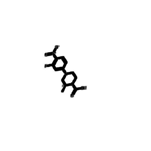 C[C@H]1CN(c2ccc([N+](=O)[O-])c(F)c2)CCN1C(=O)O